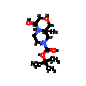 CC(C)(C)OC(=O)N1CCN2C(=O)COC[C@H]2C1